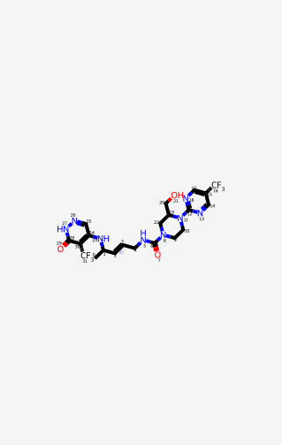 CC(/C=C/CNC(=O)N1CCN(c2ncc(C(F)(F)F)cn2)C(CO)C1)Nc1cn[nH]c(=O)c1C(F)(F)F